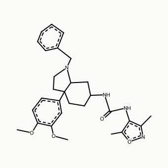 COc1ccc(C23CCC(NC(=O)Nc4c(C)noc4C)CC2N(Cc2ccccc2)CC3)cc1OC